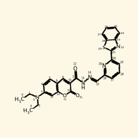 CCN(CC)c1ccc2cc(C(=O)NN=Cc3cccc(-c4nc5ccccc5s4)n3)c(=O)oc2c1